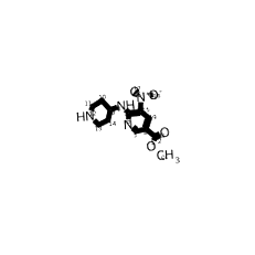 COC(=O)c1cnc(NC2CCNCC2)c([N+](=O)[O-])c1